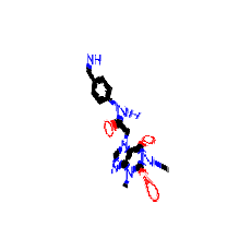 Cn1c(=O)c2c(ncn2CC(=O)Nc2ccc(C=N)cc2)n(C)c1=O